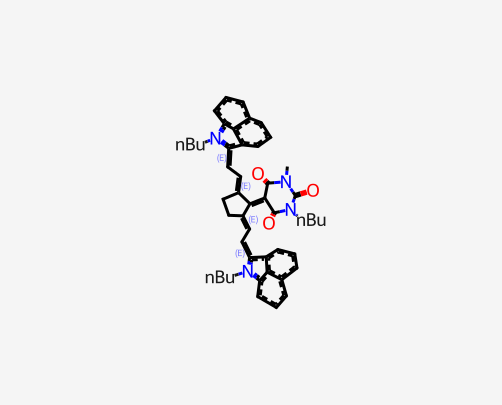 CCCCN1C(=O)C(=C2/C(=C/C=c3\c4cccc5cccc(c54)n3CCCC)CC/C2=C\C=c2/c3cccc4cccc(c43)n2CCCC)C(=O)N(C)C1=O